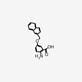 Nc1ccc(OCc2ccc3ccccc3c2)cc1C(=O)O